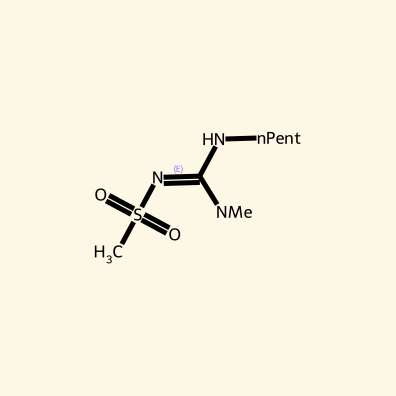 CCCCCN/C(=N/S(C)(=O)=O)NC